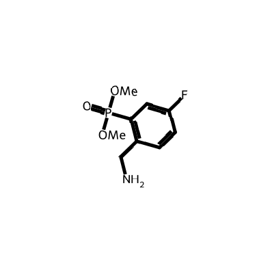 COP(=O)(OC)c1cc(F)ccc1CN